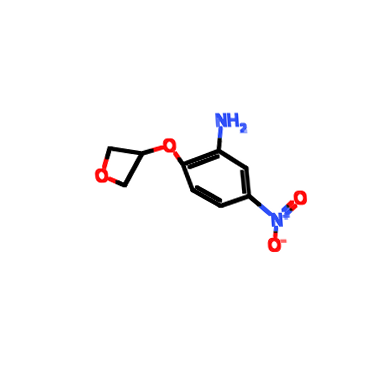 Nc1cc([N+](=O)[O-])ccc1OC1COC1